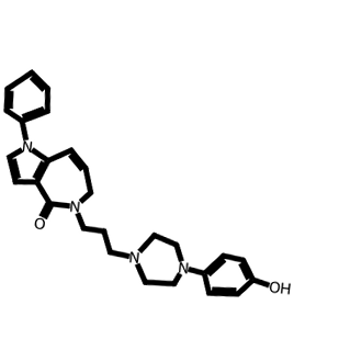 O=C1c2ccn(-c3ccccc3)c2C=CCN1CCCN1CCN(c2ccc(O)cc2)CC1